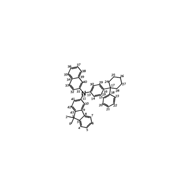 CC1(C)c2ccccc2-c2cc(N(c3ccc(C4(c5ccccc5)CCCCC4)cc3)c3ccc4ccccc4c3)ccc21